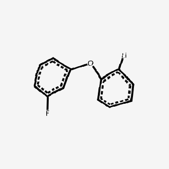 [Li][c]1ccccc1Oc1cccc(F)c1